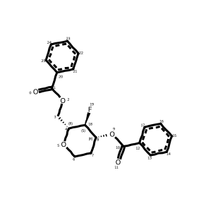 O=C(OC[C@H]1OCC[C@@H](OC(=O)c2ccccc2)[C@@H]1F)c1ccccc1